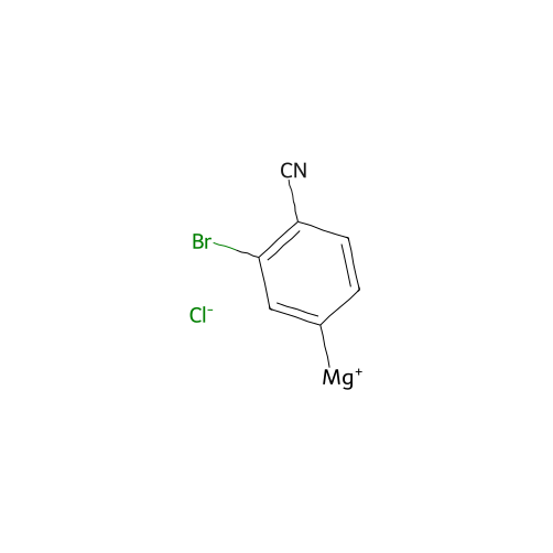 N#Cc1cc[c]([Mg+])cc1Br.[Cl-]